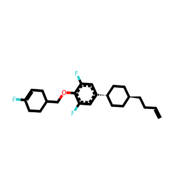 C=CCC[C@H]1CC[C@H](c2cc(F)c(OCC3CC=C(F)CC3)c(F)c2)CC1